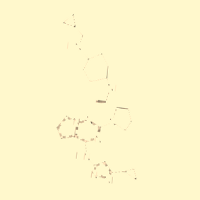 O=C(NC1CCC(NCC2CC2)CC1)[C@@H]1CCCN1c1nc(Nc2cc(C3CC3)[nH]n2)c2cccn2n1